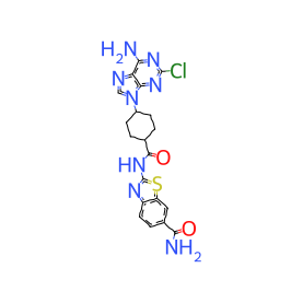 NC(=O)c1ccc2nc(NC(=O)C3CCC(n4cnc5c(N)nc(Cl)nc54)CC3)sc2c1